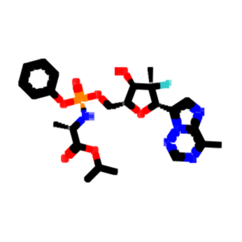 Cc1ncnn2c([C@@H]3O[C@H](CO[P@@](=O)(N[C@@H](C)C(=O)OC(C)C)Oc4ccccc4)[C@@H](O)[C@@]3(C)F)cnc12